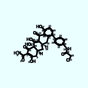 NC(=O)C1=C(O)C[C@@H]2C[C@@H]3Cc4c(-c5ccc(NC(=O)CCl)cc5)ccc(O)c4C(=O)C3=C(O)[C@]2(O)C1=O